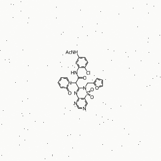 CC(=O)Nc1ccc(Cl)c(NC(=O)C(C2=Nc3ncncc3S(=O)(=O)N2Cc2ccco2)n2ccccc2=O)c1